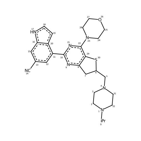 CC(C)N1CCN(CC2Cc3nc(-c4cc(C#N)cc5[nH]ccc45)nc(N4CCOCC4)c3S2)CC1